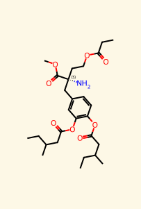 CCC(=O)OCC[C@@](N)(Cc1ccc(OC(=O)CC(C)CC)c(OC(=O)CC(C)CC)c1)C(=O)OC